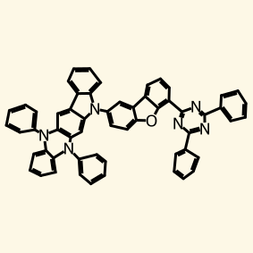 c1ccc(-c2nc(-c3ccccc3)nc(-c3cccc4c3oc3ccc(-n5c6ccccc6c6cc7c(cc65)N(c5ccccc5)c5ccccc5N7c5ccccc5)cc34)n2)cc1